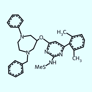 CSNc1nc(OC2CN(Cc3ccccc3)CCN(c3ccccc3)C2)cc(-c2c(C)cccc2C)n1